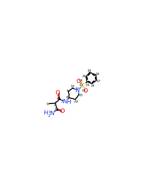 C[C](C(N)=O)C(=O)NC1CCN(S(=O)(=O)c2ccccc2)CC1